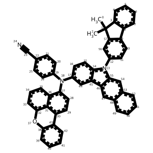 CC1(C)c2ccccc2-c2ccc(-n3c4ccc(N(c5ccc(C#N)cc5)c5ccc6c7c(cccc57)Oc5ccccc5-6)cc4c4cc5ccccc5cc43)cc21